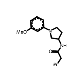 COc1cccc(N2CCC(NC(=O)CC(C)C)C2)c1